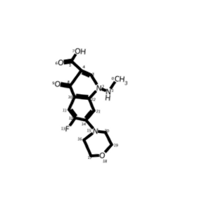 CNn1cc(C(=O)O)c(=O)c2cc(F)c(N3CCOCC3)cc21